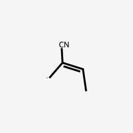 [CH2]C(C#N)=CC